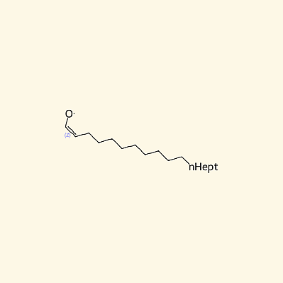 CCCCCCCCCCCCCCCC/C=C\[O]